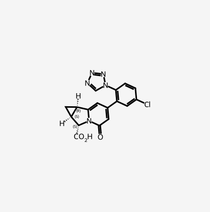 O=C(O)[C@@H]1[C@H]2C[C@H]2c2cc(-c3cc(Cl)ccc3-n3cnnn3)cc(=O)n21